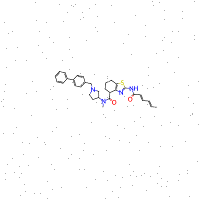 CC=CC=CC(=O)Nc1nc2c(s1)CCCC2C(=O)N(C)C1CCN(Cc2ccc(-c3ccccc3)cc2)C1